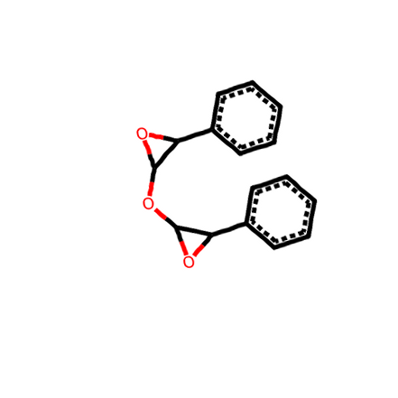 c1ccc(C2OC2OC2OC2c2ccccc2)cc1